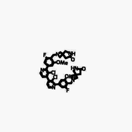 COc1cc(-c2nccc(-c3ccnc(-c4cc(F)c(CN5CC6(CNC(=O)C6)C5)c(OC)c4)c3Cl)c2Cl)cc(F)c1CN1CC2(CNC(=O)C2)C1